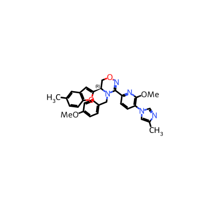 COc1ccc(CN2C(c3ccc(-n4cnc(C)c4)c(OC)n3)=NOC[C@@H]2c2cc3cc(C)ccc3o2)cc1